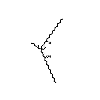 C=CCOCC(CC)(COCC(O)CCCCCCCCCCCC)COCC(O)CCCCCCCCCCCC